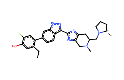 CCc1cc(O)c(F)cc1-c1ccc2c(-c3nc4c([nH]3)CN(C)C(CN3CCC[C@@H]3C)C4)n[nH]c2c1